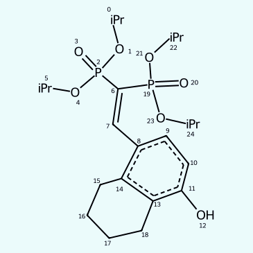 CC(C)OP(=O)(OC(C)C)C(=Cc1ccc(O)c2c1CCCC2)P(=O)(OC(C)C)OC(C)C